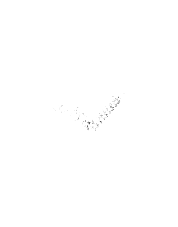 C=CC(=O)OCCN(C)c1ccc(S(=O)(=O)C(F)(F)C(F)(F)C(F)(F)C(F)(F)C(F)(F)C(F)(F)C(F)(F)C(F)(F)C(F)(F)C(F)(F)F)cc1